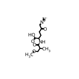 COCC(C)C(=O)NC(CCC(=O)C=[N+]=[N-])C(=O)O